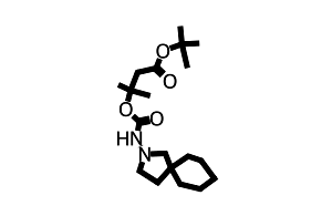 CC(C)(C)OC(=O)CC(C)(C)OC(=O)NN1CCC2(CCCCC2)C1